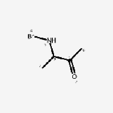 CC(=O)C(C)NBr